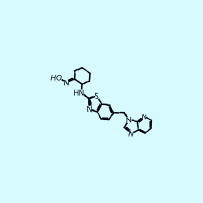 ON=C1CCCCC1Nc1nc2ccc(Cn3cnc4cccnc43)cc2s1